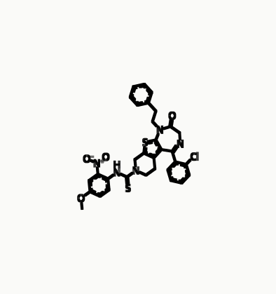 COc1ccc(NC(=S)N2CCc3c(sc4c3C(c3ccccc3Cl)=NCC(=O)N4CCc3ccccc3)C2)c([N+](=O)[O-])c1